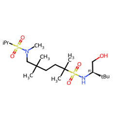 CC(C)S(=O)(=O)N(C)CC(C)(C)CCC(C)(C)S(=O)(=O)N[C@@H](CO)C(C)(C)C